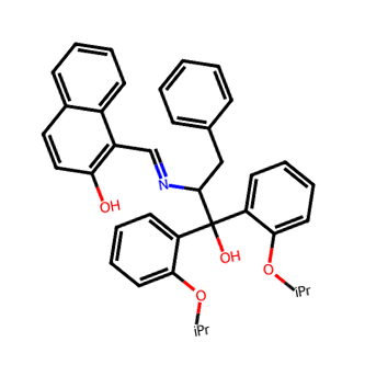 CC(C)Oc1ccccc1C(O)(c1ccccc1OC(C)C)C(Cc1ccccc1)N=Cc1c(O)ccc2ccccc12